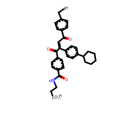 CC(C)Cc1ccc(C(=O)C=C(C(=O)c2ccc(C(=O)NCCC(=O)O)cc2)c2ccc(C3CCCCC3)cc2)cc1